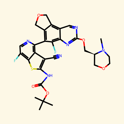 CN1CCOC[C@H]1COc1ncc2c3c(c(-c4ncc(F)c5sc(NC(=O)OC(C)(C)C)c(C#N)c45)c(F)c2n1)COC3